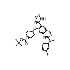 CC(C)(C)OC(=O)N1CCC(Oc2cc3nc(Nc4cccc(F)c4)ncc3cc2-c2nnn[nH]2)CC1